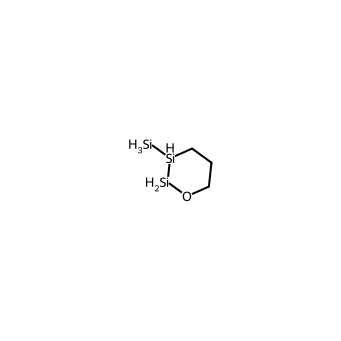 [SiH3][SiH]1CCCO[SiH2]1